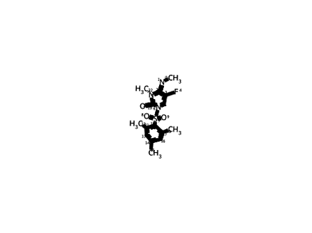 C/N=c1\c(F)cn(S(=O)(=O)c2c(C)cc(C)cc2C)c(=O)n1C